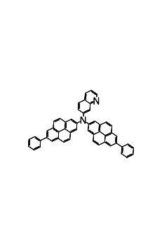 c1ccc(-c2cc3ccc4cc(N(c5cc6ccc7cc(-c8ccccc8)cc8ccc(c5)c6c78)c5ccc6cccnc6c5)cc5ccc(c2)c3c45)cc1